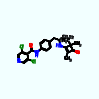 CCOC(=O)[C@H](Cc1ccc(NC(=O)c2c(Cl)cncc2Cl)cc1)NC1=C(C)C(=O)C1(C)C